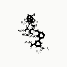 CNC(=O)c1cc(-c2cccc(CN3O[C@@H](CO)[C@@H](C(C)NC(C)=O)[C@H]3C(=O)N[C@H]3C[C@H]4C[C@@H]([C@@H]3C)C4(C)C)c2OC)cc(N(C)C)c1